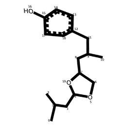 CC(C)CC1OCC(CC(C)Cc2ccc(O)cc2)O1